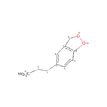 O=C(O)CCc1ccc2c(c1)COO2